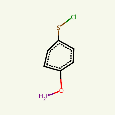 POc1ccc(SCl)cc1